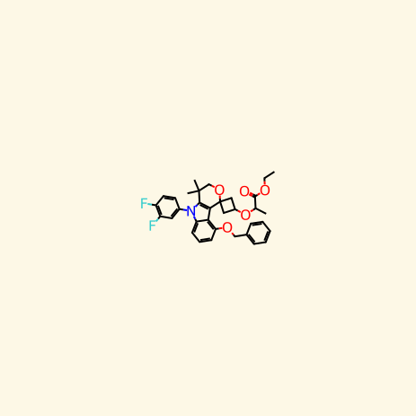 CCOC(=O)C(C)OC1CC2(C1)OCC(C)(C)c1c2c2c(OCc3ccccc3)cccc2n1-c1ccc(F)c(F)c1